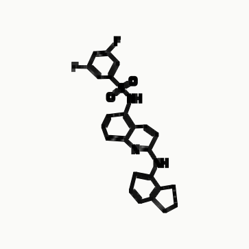 O=S(=O)(Nc1cccc2nc(Nc3cccc4c3CCC4)ccc12)c1cc(F)cc(F)c1